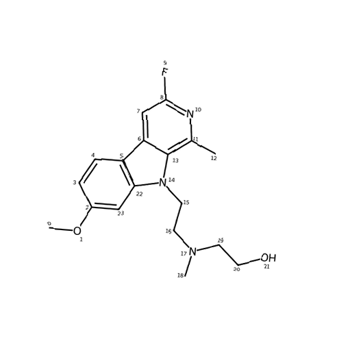 COc1ccc2c3cc(F)nc(C)c3n(CCN(C)CCO)c2c1